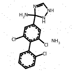 N.NC1(c2cc(Cl)c(-c3ccccc3Cl)c(Cl)c2)N=CNN1